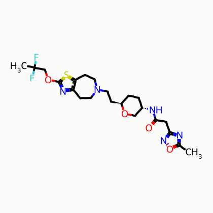 Cc1nc(CC(=O)N[C@H]2CC[C@H](CCN3CCc4nc(OCC(C)(F)F)sc4CC3)OC2)no1